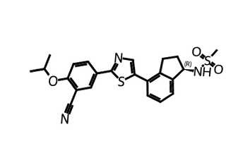 CC(C)Oc1ccc(-c2ncc(-c3cccc4c3CC[C@H]4NS(C)(=O)=O)s2)cc1C#N